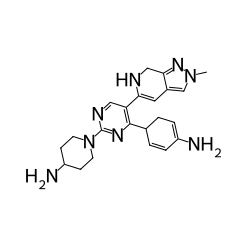 Cn1cc2c(n1)CNC(c1cnc(N3CCC(N)CC3)nc1C1C=CC(N)=CC1)=C2